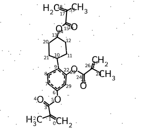 C=C(C)C(=O)Oc1ccc(C2CCC(OC(=O)C(=C)C)CC2)c(OC(=O)C(=C)C)c1